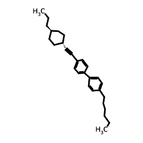 CCCCCCc1ccc(-c2ccc(C#C[C@H]3CC[C@H](CCC)CC3)cc2)cc1